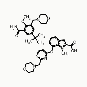 COc1c(CN2CCOCC2)cc(C(C)(C)C)cc1C(N)=O.Cn1c(C(=O)O)cc2cccc(Oc3ccnc(CN4CCOCC4)n3)c21